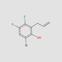 C=CCc1c(O)c(Br)cc(F)c1F